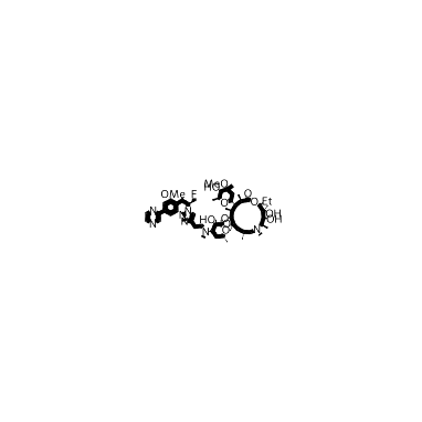 CC[C@H]1OC(=O)[C@H](C)[C@@H](C2C[C@@](C)(OC)[C@@H](O)[C@H](C)O2)[C@H](C)[C@@H](O[C@@H]2O[C@H](C)C[C@H](N(C)CCc3cn([C@H](CF)[C@H](OC)c4ccc(-c5cnccn5)cc4)nn3)[C@H]2O)[C@](C)(O)C[C@@H](C)CN(C)[C@H](C)[C@@H](O)[C@]1(C)O